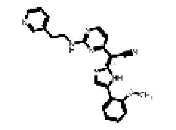 COc1ccccc1C1=CS/C(=C(/C#N)c2ccnc(NCCc3cccnc3)n2)N1